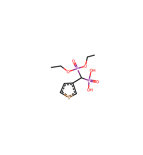 CCOP(=O)(OCC)C(c1ccsc1)P(=O)(O)O